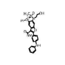 CNC(=O)c1c(-c2ccc(Nc3ccccc3)cc2)oc2cc(N(CCO)S(C)(=O)=O)c(OC(C)C)cc12